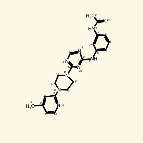 CC(=O)Nc1cccc(Nc2ncnc(N3CCN(c4cc(C)ccn4)CC3)n2)c1